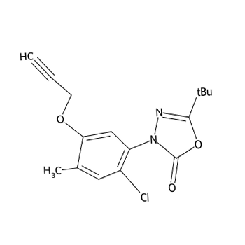 C#CCOc1cc(-n2nc(C(C)(C)C)oc2=O)c(Cl)cc1C